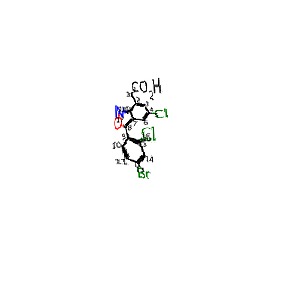 O=C(O)Cc1cc(Cl)cc2c(-c3ccc(Br)cc3Cl)onc12